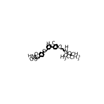 Cc1cc(OCCCNC(=O)OC(C)(C)C)ccc1-c1cccc(COc2ccc(Cn3oc(=O)[nH]c3=O)cc2)c1